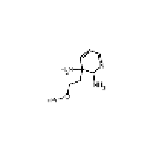 CCCOCCC1(N)C=CC=NC1N